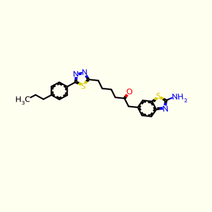 CCCc1ccc(-c2nnc(CCCCC(=O)Cc3ccc4nc(N)sc4c3)s2)cc1